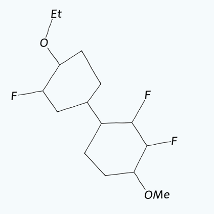 CCOC1CCC(C2CCC(OC)C(F)C2F)CC1F